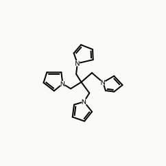 c1ccn(CC(Cn2cccc2)(Cn2cccc2)Cn2cccc2)c1